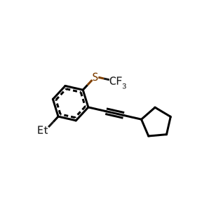 CCc1ccc(SC(F)(F)F)c(C#CC2CCCC2)c1